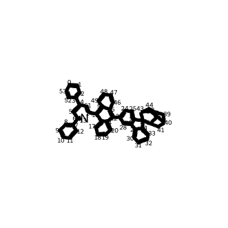 c1ccc(-c2cc(-c3ccccc3)nc(-c3c4ccccc4c(-c4ccc5c(c4)-c4ccccc4C54C5CC6CC(C5)CC4C6)c4ccccc34)c2)cc1